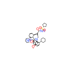 COc1ccc(C2CCCCC2)c2c1cc1n2CC2=C(C(=O)NS(=O)(=O)C3CCCC3)C2=C2C=CC[C@@H](C(=O)N3C4CC3CN(Cc3ccccc3)C4)C21